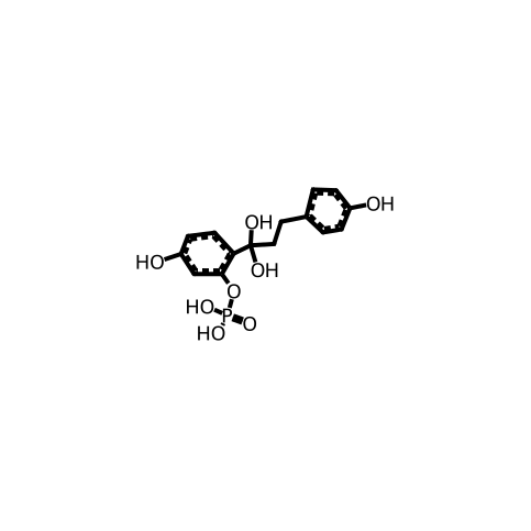 O=P(O)(O)Oc1cc(O)ccc1C(O)(O)CCc1ccc(O)cc1